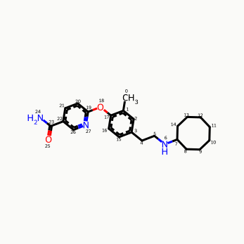 Cc1cc(CCNC2CCCCCCC2)ccc1Oc1ccc(C(N)=O)cn1